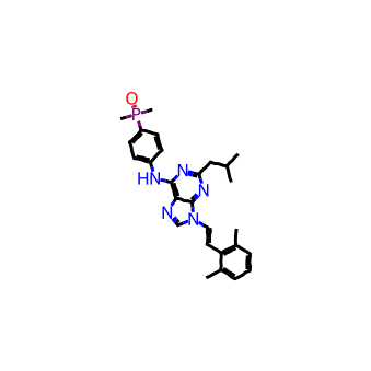 Cc1cccc(C)c1C=Cn1cnc2c(Nc3ccc(P(C)(C)=O)cc3)nc(CC(C)C)nc21